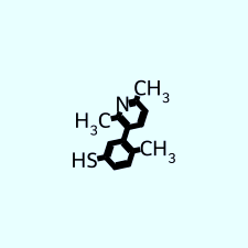 Cc1ccc(-c2cc(S)ccc2C)c(C)n1